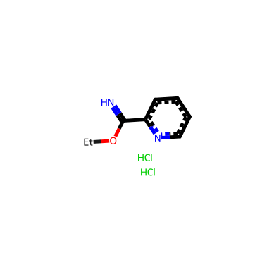 CCOC(=N)c1ccccn1.Cl.Cl